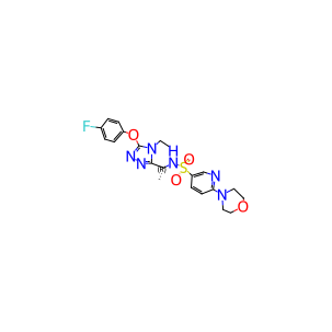 CCn1c(Oc2ccc(F)cc2)nnc1[C@@H](C)NS(=O)(=O)c1ccc(N2CCOCC2)nc1